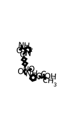 CC(C)(O)COc1cccc(N2CC(=O)N([C@H]3CC4(C[C@H](Oc5ncccc5C(N)=O)C4)C3)C2=O)c1